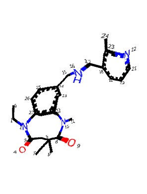 CCN1C(=O)C(C)(C)C(=O)N(C)c2cc(CNCc3cccnc3C)ccc21